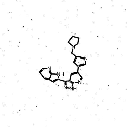 c1cnc2[nH]c(-c3n[nH]c4ncc(-c5cncc(CN6CCCC6)c5)cc34)cc2c1